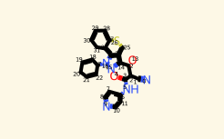 N#CC(C(=O)Nc1ccncc1)C(=O)c1nn(C2C=CCC=C2)c2c1=CSC1=CC=CCC=21